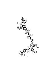 Cc1ncsc1-c1ccc(CNC(=O)[C@@H]2C[C@@H](O)CN2C(=O)[C@@H](NC(=O)CCOCCC(=O)NCCC(=O)Nc2cc3cc(-c4cncc(N)c4C)c(F)c(N)c3cn2)C(C)(C)C)cc1